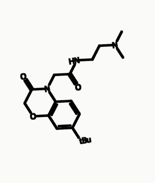 CN(C)CCNC(=O)CN1C(=O)COc2cc(C(C)(C)C)ccc21